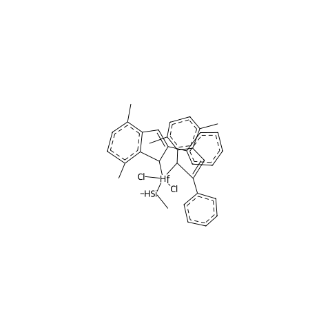 Cc1ccc(C)c2c1C=C(c1ccccc1)[CH]2[Hf]([Cl])([Cl])([CH]1C(c2ccccc2)=Cc2c(C)ccc(C)c21)[SiH](C)C